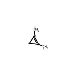 CC1=C(N)C1